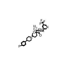 CC(C)[C@]1(C(=O)NCc2cncc(C(F)(F)F)c2)CC[C@@H](N2CCC(c3ccc(F)cc3)CC2)CO1